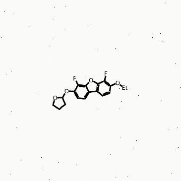 CCOc1ccc2c(oc3c(F)c(OC4CCCO4)ccc32)c1F